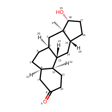 C[C@@]12C[C@@H]3CC[C@@H]4CC(=O)CC[C@@H]4[C@H]3C[C@H]1CC[C@H]2O